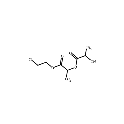 CC(O)C(=O)OC(C)C(=O)OCCCl